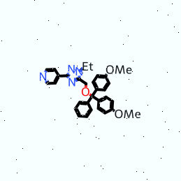 [CH2]Cn1nc(-c2ccncc2)nc1COC(c1ccccc1)(c1ccc(OC)cc1)c1ccc(OC)cc1